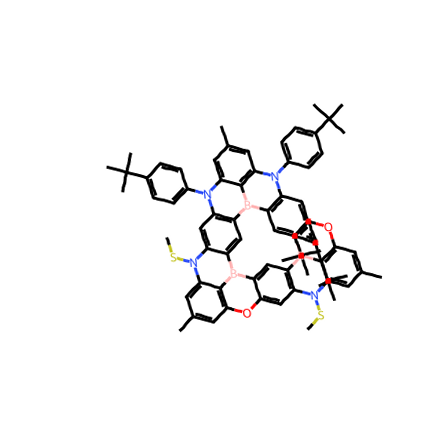 CSN1c2cc3c(cc2B2c4cc(C(C)(C)C)ccc4Oc4cc(C)cc1c42)B1c2cc4c(cc2N(SC)c2cc(C)cc(c21)O3)N(c1ccc(C(C)(C)C)cc1)c1cc(C)cc2c1B4c1cc(C(C)(C)C)ccc1N2c1ccc(C(C)(C)C)cc1